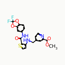 COC(=O)c1cc(CNc2ccsc2C(=O)Nc2ccc3c(c2)OC(F)(F)O3)ccn1